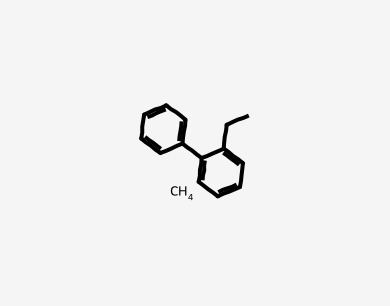 C.CCc1ccccc1-c1ccccc1